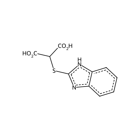 O=C(O)C(Sc1nc2ccccc2[nH]1)C(=O)O